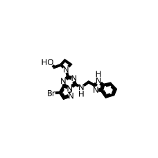 OCC1CCN1c1nc(NCc2nc3ccccc3[nH]2)n2ncc(Br)c2n1